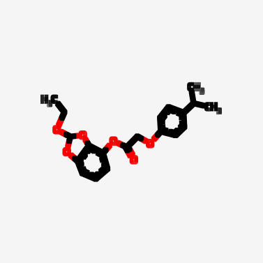 CCOC1Oc2cccc(OC(=O)COc3ccc(C(C)C)cc3)c2O1